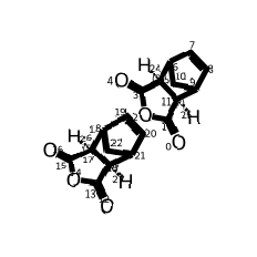 O=C1OC(=O)[C@H]2C3C=CC(C3)[C@@H]12.O=C1OC(=O)[C@H]2C3C=CC(C3)[C@@H]12